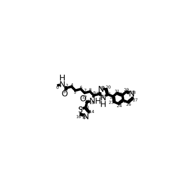 CNC(=O)CCCCCC(NC(=O)c1cncs1)c1ncc(-c2ccc3ccncc3c2)[nH]1